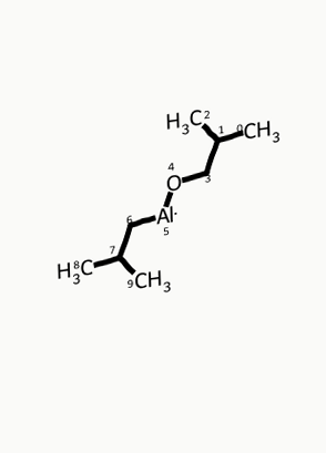 CC(C)C[O][Al][CH2]C(C)C